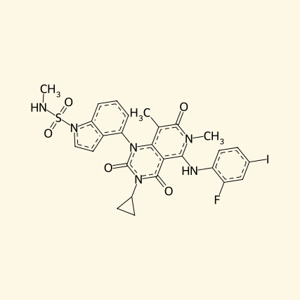 CNS(=O)(=O)n1ccc2c(-n3c(=O)n(C4CC4)c(=O)c4c(Nc5ccc(I)cc5F)n(C)c(=O)c(C)c43)cccc21